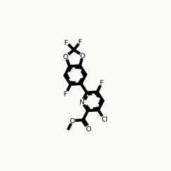 COC(=O)c1nc(-c2cc3c(cc2F)OC(F)(F)O3)c(F)cc1Cl